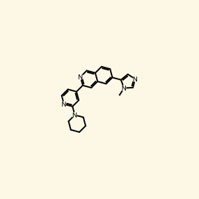 Cn1cncc1-c1ccc2cnc(-c3ccnc(N4CCCCC4)c3)cc2c1